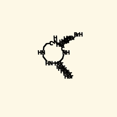 Br.Br.Br.Br.Br.Br.Br.Br.Br.Br.Br.Br.C1CNCCNCCCNCCNC1